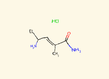 CCC(N)/C=C(\C)C(N)=O.Cl